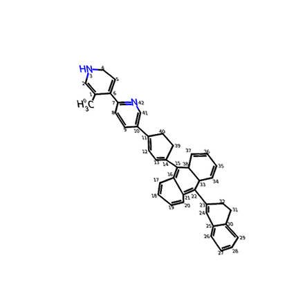 CC1=CNCC=C1c1ccc(C2=CC=C(C3=c4ccccc4=C(C4=Cc5ccccc5CC4)C4C=CC=CC34)CC2)cn1